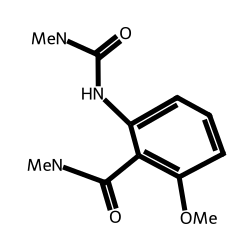 CNC(=O)Nc1cccc(OC)c1C(=O)NC